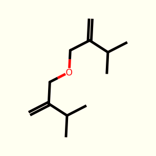 C=C(COCC(=C)C(C)C)C(C)C